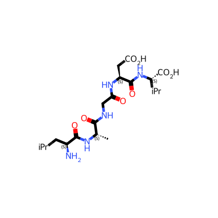 CC(C)C[C@H](N)C(=O)N[C@@H](C)C(=O)NCC(=O)N[C@@H](CC(=O)O)C(=O)N[C@H](C(=O)O)C(C)C